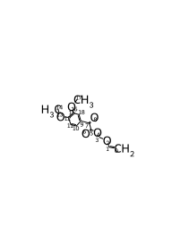 C=COCOC(=O)C(=O)c1ccc(OC)c(OC)c1